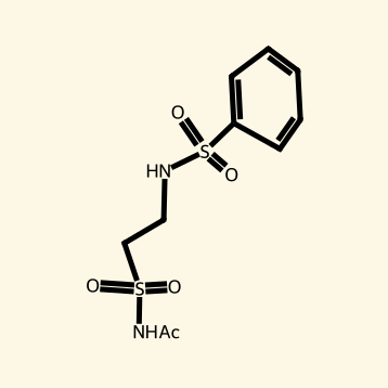 CC(=O)NS(=O)(=O)CCNS(=O)(=O)c1ccccc1